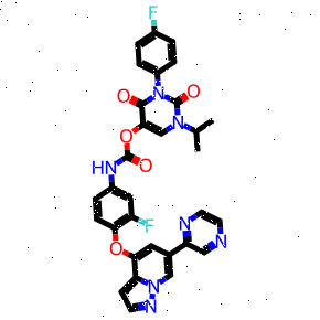 CC(C)n1cc(OC(=O)Nc2ccc(Oc3cc(-c4cnccn4)cn4nccc34)c(F)c2)c(=O)n(-c2ccc(F)cc2)c1=O